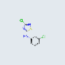 Clc1cccc(Nc2nc(Cl)ns2)c1